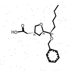 CCCCC[C@@H](OCc1ccccc1)[C@H]1C[C@H](CC(=O)O)CO1